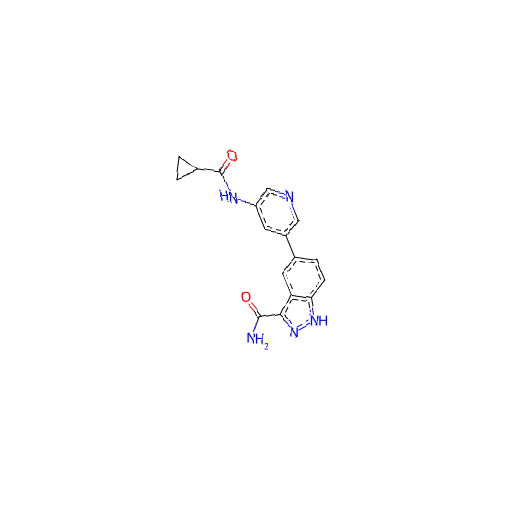 NC(=O)c1n[nH]c2ccc(-c3cncc(NC(=O)C4CC4)c3)cc12